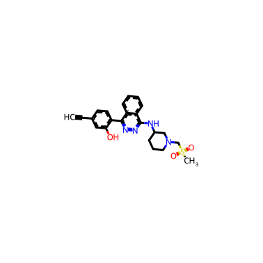 C#Cc1ccc(-c2nnc(NC3CCCN(CS(C)(=O)=O)C3)c3ccccc23)c(O)c1